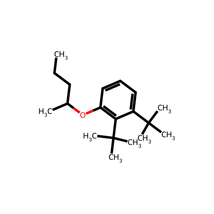 CCCC(C)Oc1cccc(C(C)(C)C)c1C(C)(C)C